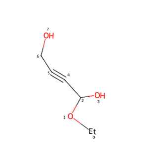 CCOC(O)C#CCO